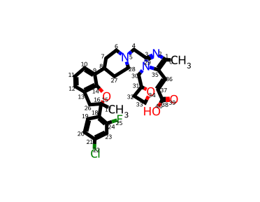 Cc1nc(CN2CCC(c3cccc4c3OC(C)(c3ccc(Cl)cc3F)C4)CC2)n(CC2CCO2)c1C=CC(=O)O